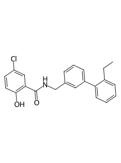 CCc1ccccc1-c1cccc(CNC(=O)c2cc(Cl)ccc2O)c1